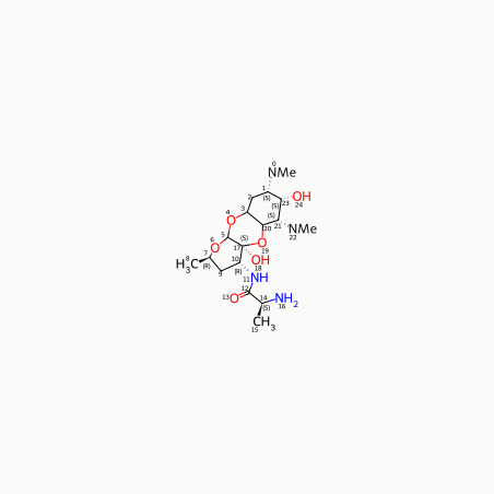 CN[C@H]1CC2OC3O[C@H](C)C[C@@H](NC(=O)[C@H](C)N)[C@]3(O)OC2[C@@H](NC)[C@H]1O